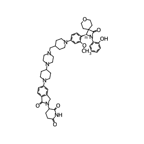 COc1cc(N2CCC(CN3CCN(C4CCN(c5ccc6c(c5)CN(C5CCC(=O)NC5=O)C6=O)CC4)CC3)CC2)ccc1[C@@H]1N(c2ccccc2O)C(=O)C12CCOCC2